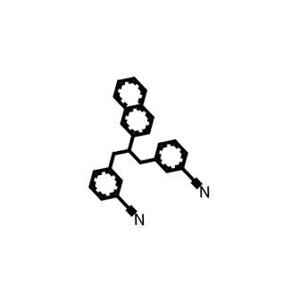 N#Cc1cccc(CC(Cc2cccc(C#N)c2)c2ccc3ccccc3c2)c1